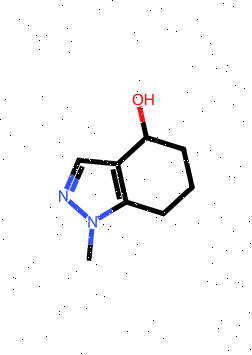 Cn1ncc2c1CCCC2O